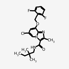 CCC(C)(C)CNC(=O)c1c(C)nc2c(OCc3c(F)cccc3F)cc(Cl)cn12